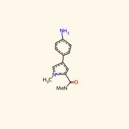 CNC(=O)c1cc(-c2ccc(N)cc2)cn1C